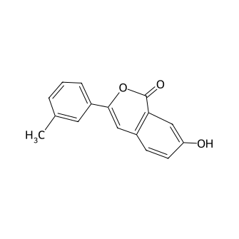 Cc1cccc(-c2cc3ccc(O)cc3c(=O)o2)c1